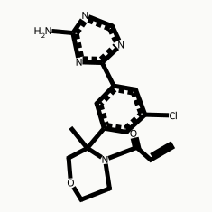 C=CC(=O)N1CCOCC1(C)c1cc(Cl)cc(-c2ncnc(N)n2)c1